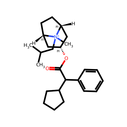 CC(C)C[N+]1(C)[C@@H]2CC[C@H]1C[C@@H](OC(=O)C(c1ccccc1)C1CCCC1)C2